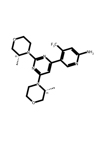 C[C@@H]1COCCN1c1cc(-c2cnc(N)cc2C(F)(F)F)nc(N2CCOC[C@H]2C)n1